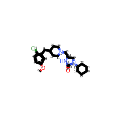 COc1ccc(Cl)c(CC2CCN(CC3CN(C4CCCCC4)C(=O)N3)CC2)c1